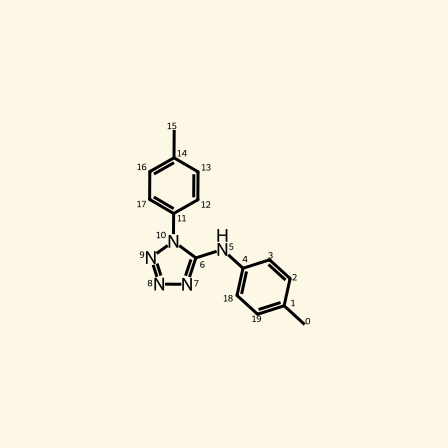 Cc1ccc(Nc2nnnn2-c2ccc(C)cc2)cc1